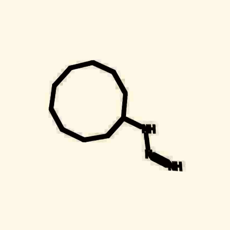 N=NNC1CCCCCCCCC1